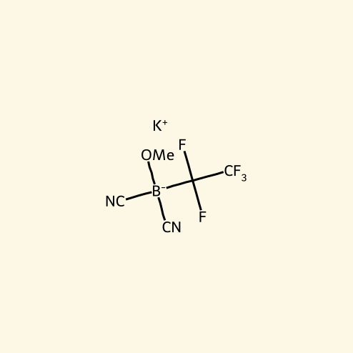 CO[B-](C#N)(C#N)C(F)(F)C(F)(F)F.[K+]